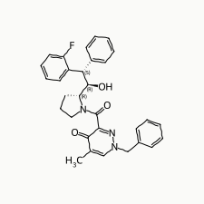 Cc1cn(Cc2ccccc2)nc(C(=O)N2CCC[C@@H]2[C@H](O)[C@@H](c2ccccc2)c2ccccc2F)c1=O